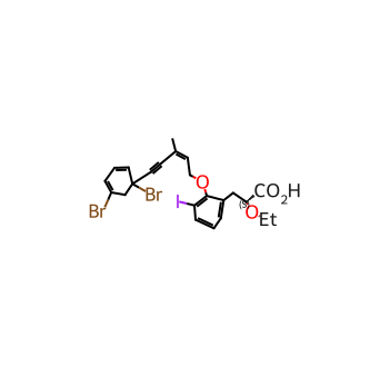 CCO[C@@H](Cc1cccc(I)c1OCC=C(C)C#CC1(Br)C=CC=C(Br)C1)C(=O)O